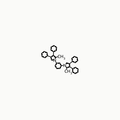 Cc1c(-c2ccccc2)c(-c2ccccc2)cn1-c1cccc(-n2cc(-c3ccccc3)c(-c3ccccc3)c2C)c1